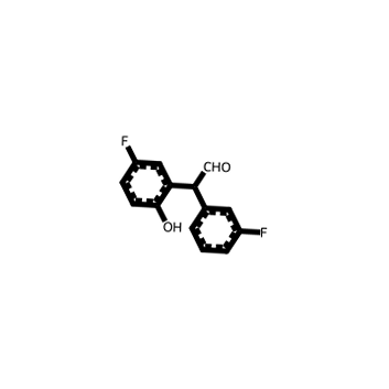 O=CC(c1cccc(F)c1)c1cc(F)ccc1O